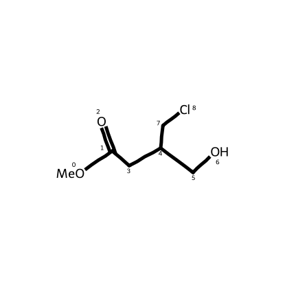 COC(=O)CC(CO)CCl